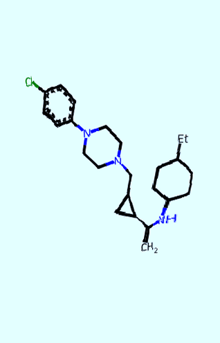 C=C(NC1CCC(CC)CC1)[C@H]1CC1CN1CCN(c2ccc(Cl)cc2)CC1